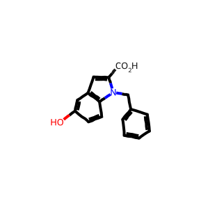 O=C(O)c1cc2cc(O)ccc2n1Cc1ccccc1